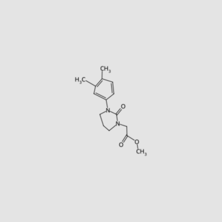 COC(=O)CN1CCCN(c2ccc(C)c(C)c2)C1=O